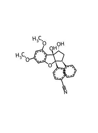 COc1cc(OC)c2c(c1)O[C@@]1(c3ccc(C#N)cc3)[C@H](c3ccccc3)C[C@@H](O)[C@@]21O